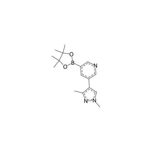 Cc1nn(C)cc1-c1cncc(B2OC(C)(C)C(C)(C)O2)c1